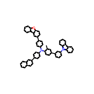 Cc1cc(-c2cccc(-n3c4ccccc4c4ccccc43)c2)ccc1N(c1ccc(-c2ccc3ccccc3c2)cc1)c1ccc(-c2ccc3oc4ccccc4c3c2)cc1